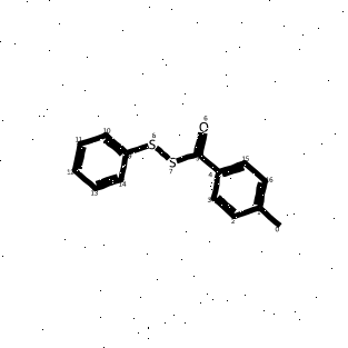 Cc1ccc(C(=O)SSc2ccccc2)cc1